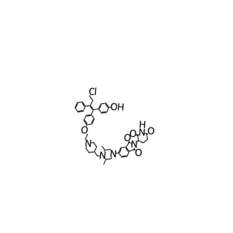 CC1CN(c2ccc3c(c2)C(=O)N(C2CCC(=O)NC2=O)C3=O)CC(C)N1CC1CCN(CCOc2ccc(C(=C(CCCl)c3ccccc3)c3ccc(O)cc3)cc2)CC1